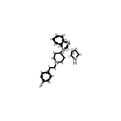 Fc1ccc(CCN2CCC(n3c([C@@H]4CCNC4)nc4ccccc43)CC2)cc1